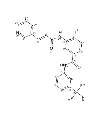 Cc1ccc(C(=O)Nc2cccc(C(F)(F)F)c2)cc1NC(=O)C=Cc1cncnc1